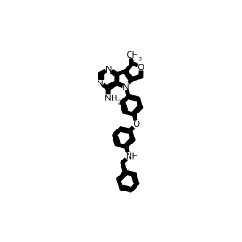 CC1OCc2c1c1ncnc(N)c1n2-c1ccc(Oc2cccc(NCc3ccccc3)c2)cc1